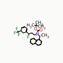 C[C@H](c1cccc2ccccc12)N(CCC(F)C1=CC=CC(C(F)(F)F)C1)C(=O)OC(C)(C)C